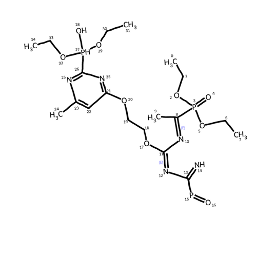 CCOP(=O)(OCC)/C(C)=N/C(=N\C(=N)P=O)OCCOc1cc(C)nc([PH](O)(OCC)OCC)n1